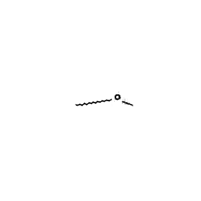 CCCCCCCCCCCCCCCCCCNc1cc(O)cc(NC(=O)C(F)(F)C(F)(F)C(F)(F)C(F)F)c1